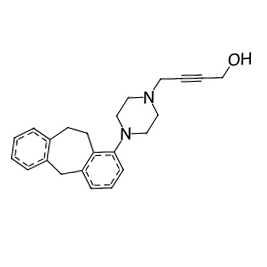 OCC#CCN1CCN(c2cccc3c2CCc2ccccc2C3)CC1